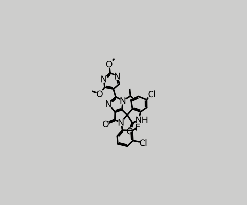 COc1ncc(-c2nc3c(n2C(C)C)C2(C(=O)Nc4cc(Cl)ccc42)N(c2cccc(Cl)c2F)C3=O)c(OC)n1